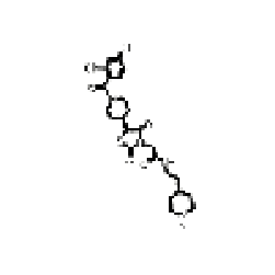 O=C(CN1C(=O)SC(=C2CCN(C(=O)c3ccc(Cl)cc3Cl)CC2)C1=O)NCCC1CCNCC1